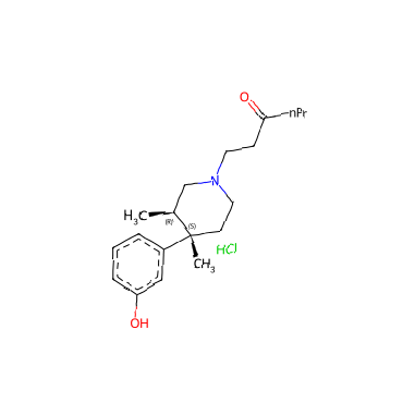 CCCC(=O)CCN1CC[C@](C)(c2cccc(O)c2)[C@@H](C)C1.Cl